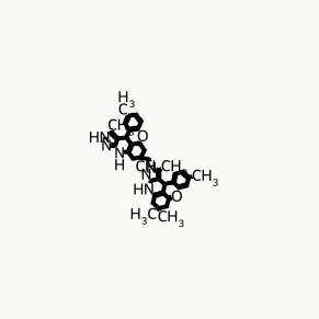 Cc1ccc(C2C3=C(CC(C)(C)CC3=O)Nc3nn(CC4(C)CC(=O)C5=C(C4)Nc4n[nH]c(C)c4C5c4cccc(C)c4)c(C)c32)cc1